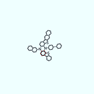 c1ccc(-c2ccc(N(c3cccc4c3sc3ccccc34)c3c(N(c4ccccc4)c4ccc5ccccc5c4)ccc4c3sc3cc5ccccc5cc34)cc2)cc1